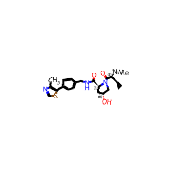 CN[C@H](C(=O)N1C[C@H](O)C[C@H]1C(=O)NCc1ccc(-c2scnc2C)cc1)C1CC1